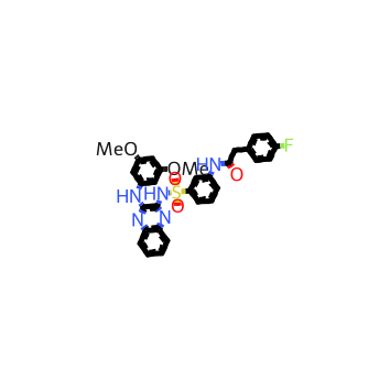 COc1cc(Nc2nc3ccccc3nc2NS(=O)(=O)c2cccc(NC(=O)Cc3ccc(F)cc3)c2)cc(OC)c1